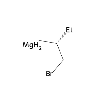 CC[C@@H](C)CBr.[MgH2]